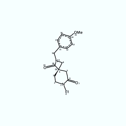 CCN1CC[C@]2(CC1=O)CN(Cc1ccc(OC)cc1)C2=O